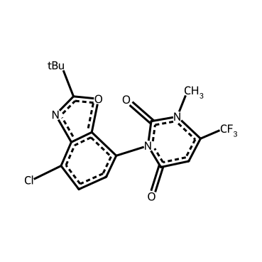 Cn1c(C(F)(F)F)cc(=O)n(-c2ccc(Cl)c3nc(C(C)(C)C)oc23)c1=O